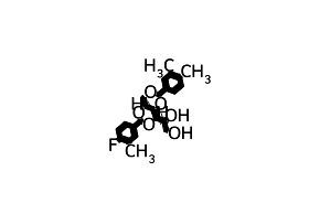 Cc1ccc(C2OC[C@@H]3OC(c4ccc(F)c(C)c4)O[C@H]([C@H](O)CO)[C@@H]3O2)cc1C